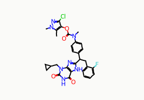 Cc1c(OC(=O)N(C)c2ccc(C(Cc3ccccc3F)c3nc4c([nH]3)c(=O)[nH]c(=O)n4CC3CC3)cc2)c(Cl)nn1C